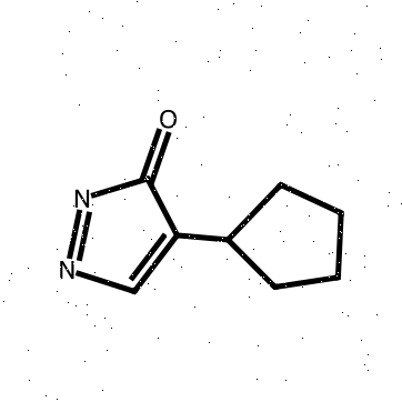 O=C1N=NC=C1C1CCCC1